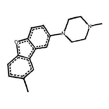 Cc1ccc2oc3ccc(N4CCN(C)CC4)cc3c2c1